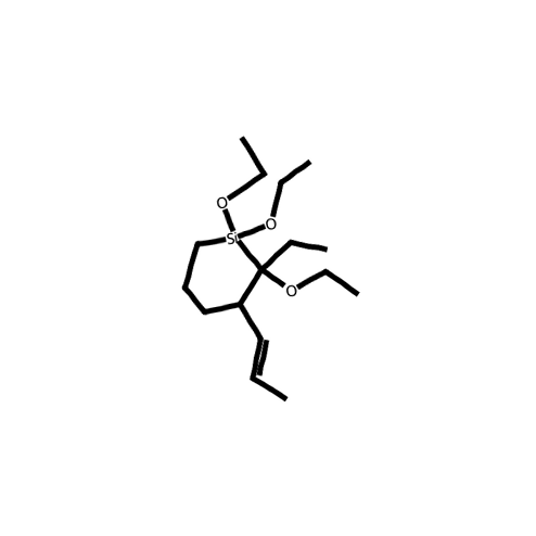 CC=CC1CCC[Si](OCC)(OCC)C1(CC)OCC